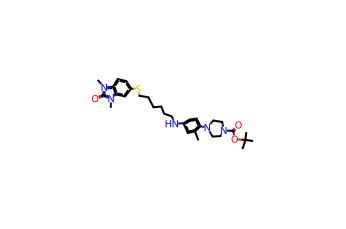 Cc1cc(NCCCCCCSc2ccc3c(c2)n(C)c(=O)n3C)ccc1N1CCN(C(=O)OC(C)(C)C)CC1